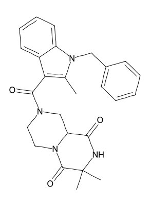 Cc1c(C(=O)N2CCN3C(=O)C(C)(C)NC(=O)C3C2)c2ccccc2n1Cc1ccccc1